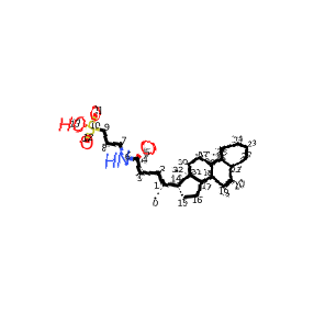 C[C@H](CCC(=O)NCCCS(=O)(=O)O)[C@H]1CCC2C3CCC4CCCC[C@]4(C)C3CC[C@@]21C